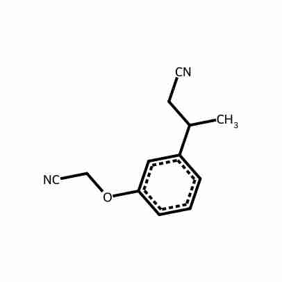 CC(CC#N)c1cccc(OCC#N)c1